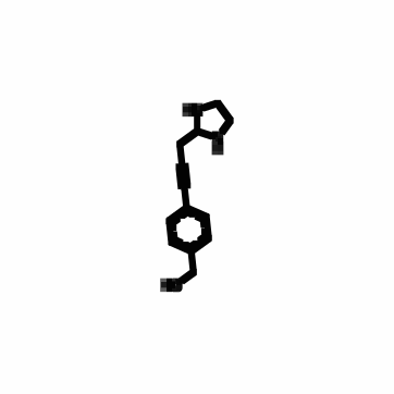 OCc1ccc(C#CCC2NCCN2)cc1